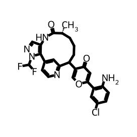 C[C@@H]1CCCC(c2coc(-c3cc(Cl)ccc3N)cc2=O)c2cc(ccn2)-c2c(cnn2C(F)F)NC1=O